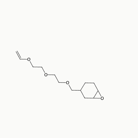 C=COCCOCCOCC1CCC2OC2C1